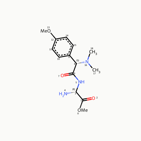 COC(=O)[C@H](N)NC(=O)[C@H](c1ccc(OC)cc1)N(C)C